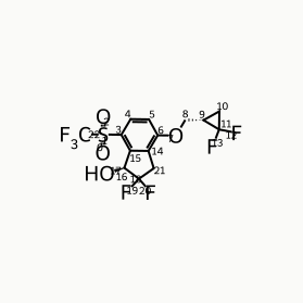 O=S(=O)(c1ccc(OC[C@@H]2CC2(F)F)c2c1[C@H](O)C(F)(F)C2)C(F)(F)F